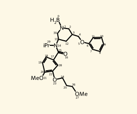 BN1CC(COc2ccccc2)CC(N(C(=O)c2ccc(OC)c(OCCCOC)c2)C(C)C)C1